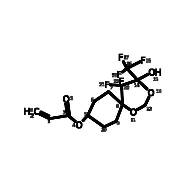 C=CC(=O)OC1CCC2(CC1)OCOC(O)(C(F)(F)F)C2(F)F